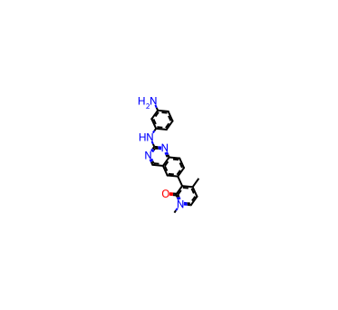 Cc1ccn(C)c(=O)c1-c1ccc2nc(Nc3cccc(N)c3)ncc2c1